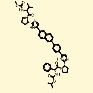 COC(=O)N[C@H](C(=O)N1CCC[C@H]1c1ncc(-c2ccc3cc(-c4ccc(-c5cnc([C@@H]6CCCN6C(=O)[C@H](NC(=O)OC(C)C)c6ccccc6)[nH]5)cc4)ccc3c2)[nH]1)C(C)C